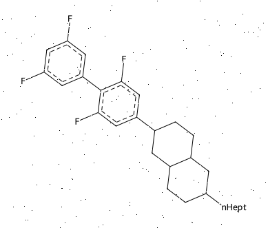 CCCCCCCC1CCC2CC(c3cc(F)c(-c4cc(F)cc(F)c4)c(F)c3)CCC2C1